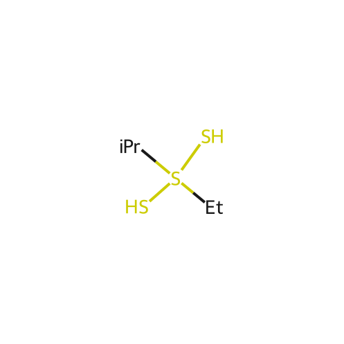 CCS(S)(S)C(C)C